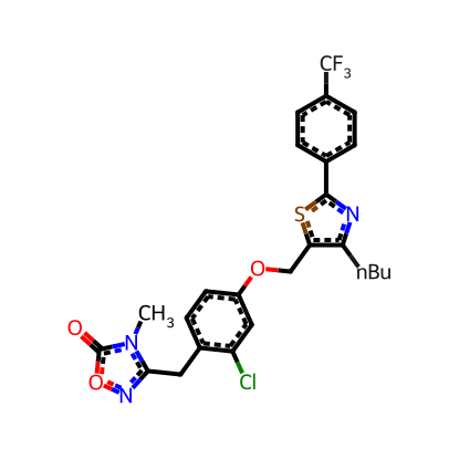 CCCCc1nc(-c2ccc(C(F)(F)F)cc2)sc1COc1ccc(Cc2noc(=O)n2C)c(Cl)c1